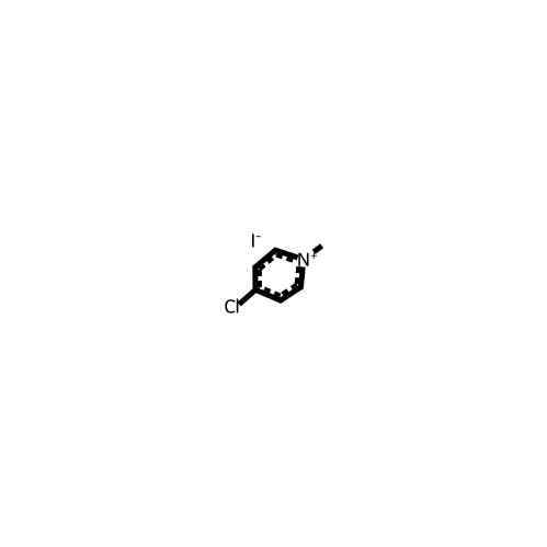 C[n+]1ccc(Cl)cc1.[I-]